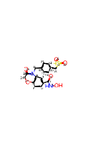 O=C(NO)c1ccc2c(c1)N(Cc1ccc(C[SH](=O)=O)cc1)C(=O)CO2